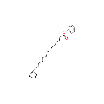 O=C(CCCCCCCCCCCCCc1ccccc1)Oc1ccccc1